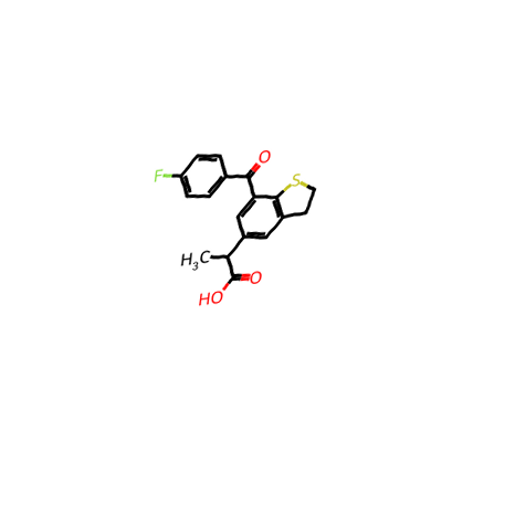 CC(C(=O)O)c1cc2c(c(C(=O)c3ccc(F)cc3)c1)SCC2